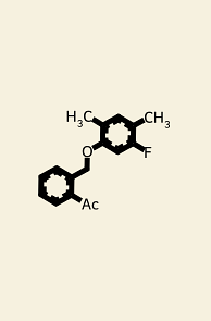 CC(=O)c1ccccc1COc1cc(F)c(C)cc1C